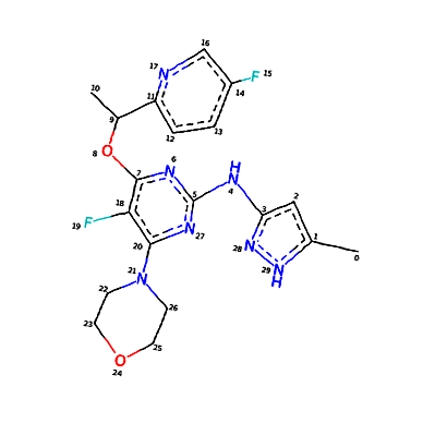 Cc1cc(Nc2nc(OC(C)c3ccc(F)cn3)c(F)c(N3CCOCC3)n2)n[nH]1